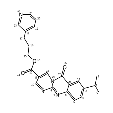 CC(C)c1ccc2nc3ccc(C(=O)OCCCc4cccnc4)cn3c(=O)c2c1